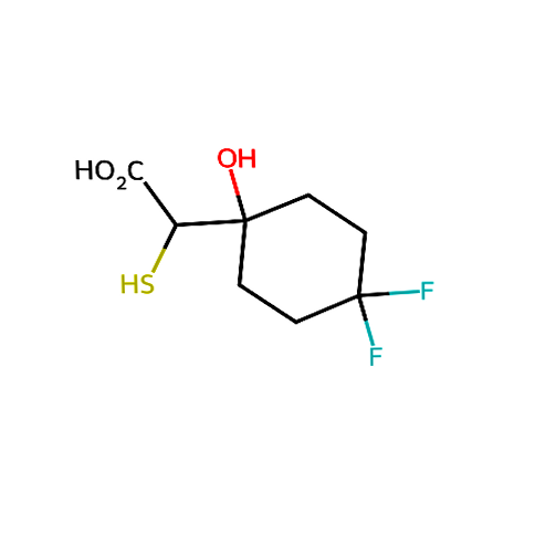 O=C(O)C(S)C1(O)CCC(F)(F)CC1